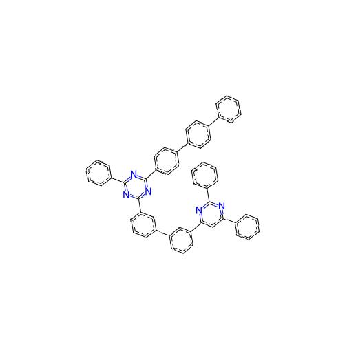 c1ccc(-c2ccc(-c3ccc(-c4nc(-c5ccccc5)nc(-c5cccc(-c6cccc(-c7cc(-c8ccccc8)nc(-c8ccccc8)n7)c6)c5)n4)cc3)cc2)cc1